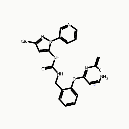 C=C(Cl)/N=C(\C=C/N)Oc1ccccc1CNC(=O)Nc1cc(C(C)(C)C)nn1-c1cccnc1